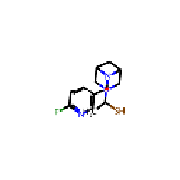 CC(S)N1CC2CC(C1)N2Cc1ccc(F)nc1